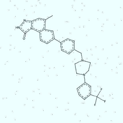 Cc1cc2n[nH]c(=O)n2c2ccc(-c3ccc(CN4CCN(c5cccc(C(F)(F)F)c5)CC4)cc3)cc12